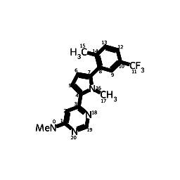 CNc1cc(-c2ccc(-c3cc(C(F)(F)F)ccc3C)n2C)ncn1